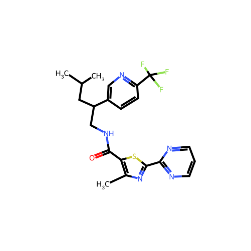 Cc1nc(-c2ncccn2)sc1C(=O)NCC(CC(C)C)c1ccc(C(F)(F)F)nc1